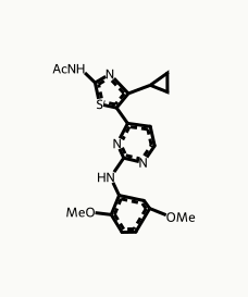 COc1ccc(OC)c(Nc2nccc(-c3sc(NC(C)=O)nc3C3CC3)n2)c1